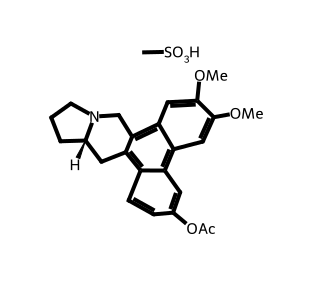 COc1cc2c3c(c4ccc(OC(C)=O)cc4c2cc1OC)C[C@@H]1CCCN1C3.CS(=O)(=O)O